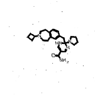 NC(=O)C1=CNC(Cc2ccc3c(c2)CCN(C2CCC2)CC3)(N2CCCC2)N=C1